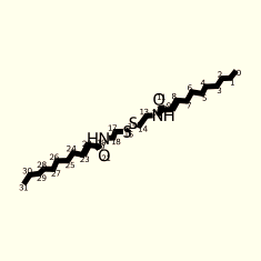 CCCCCCCCC=CC(=O)NCCSSCCNC(=O)C=CCCCCCCCC